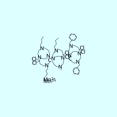 CCCCN1CCCN2CCN(CCCC)CCC(Cl)(Cl)N(CC1)CC2.CCCCN1CCN2CCCN(C)CCN(CC2)C(Cl)(Cl)CC1.ClC1(Cl)CCN(Cc2ccccc2)CCN2CCCN(Cc3ccccc3)CCN1CC2.[Mn+2].[Mn+2]